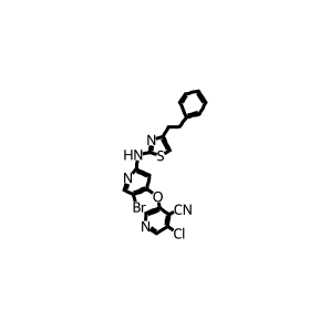 N#Cc1c(Cl)cncc1Oc1cc(Nc2nc(CCc3ccccc3)cs2)ncc1Br